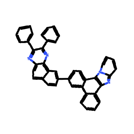 c1ccc(-c2nc3ccc4ccc(-c5ccc6c(c5)c5ccccc5c5nc7ccccn7c65)cc4c3nc2-c2ccccc2)cc1